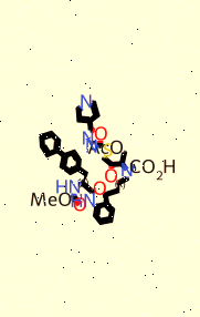 COC(=O)N[C@@H](Cc1ccc(-c2ccccc2)cc1)C(=O)Nc1ccccc1CC[C@@H]1CN(C(=O)O)C(COC(C)=O)C(CSc2nnc(-c3ccncc3)o2)O1